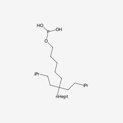 CCCCCCCC(CCCCCOP(O)O)(CCC(C)C)CCC(C)C